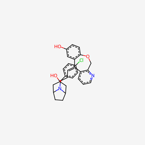 Oc1ccc2c(c1)/C(=C/CCN1C3CCC1CC(O)(c1ccc(Cl)cc1)C3)c1cccnc1CO2